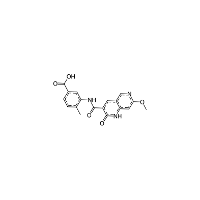 COc1cc2[nH]c(=O)c(C(=O)Nc3cc(C(=O)O)ccc3C)cc2cn1